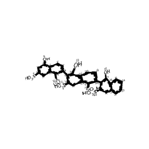 O=S(=O)(O)c1[c]c(O)c2ccc(-c3c(S(=O)(=O)O)cc4c(S(=O)(=O)O)c(-c5c(S(=O)(=O)O)cc6c[c]ccc6c5O)ccc4c3O)c(Cl)c2c1